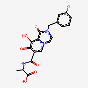 CC(NC(=O)c1cn2ccn(Cc3cccc(Cl)c3)c(=O)c2c(O)c1=O)C(=O)O